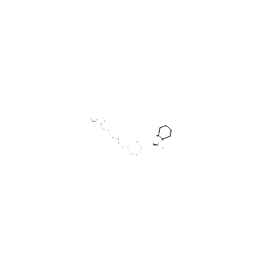 CC(=O)NCCCC(=O)N[C@H]1CC[C@@H](Cc2nc3ccccc3s2)CC1